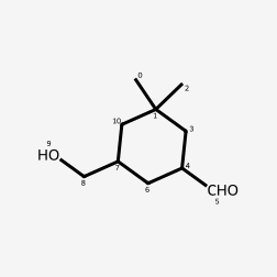 CC1(C)CC(C=O)CC(CO)C1